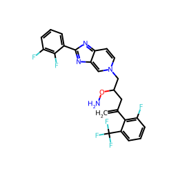 C=C(CC(Cn1ccc2nc(-c3cccc(F)c3F)nc-2c1)ON)c1c(F)cccc1C(F)(F)F